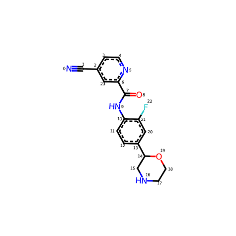 N#Cc1ccnc(C(=O)Nc2ccc(C3CNCCO3)cc2F)c1